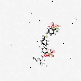 CC(C)CCOc1ccc(-c2ccc(CSCc3ccc(C(F)(F)P(=O)(O)O)cc3)cc2)cc1P(=O)(O)O